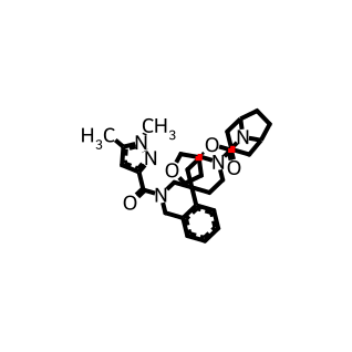 Cc1cc(C(=O)N2Cc3ccccc3C3(CCN(C4CC5CCC(C4)N5C(=O)O[C@@H]4CCOC4)CC3)C2)nn1C